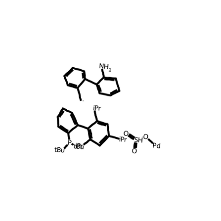 CC(C)c1cc(C(C)C)c(-c2ccccc2P(C(C)(C)C)C(C)(C)C)c(C(C)C)c1.O=[SH](=O)[O][Pd].[CH2]c1ccccc1-c1ccccc1N